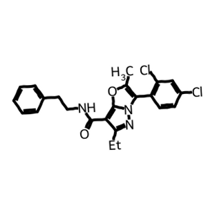 CCc1nn2c(-c3ccc(Cl)cc3Cl)c(C)oc2c1C(=O)NCCc1ccccc1